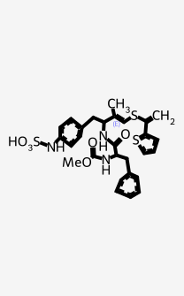 C=C(S/C=C(\C)C(Cc1ccc(NS(=O)(=O)O)cc1)NC(=O)C(Cc1ccccc1)NC(=O)OC)c1cccs1